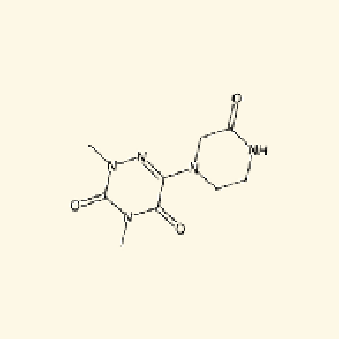 Cn1nc(N2CCNC(=O)C2)c(=O)n(C)c1=O